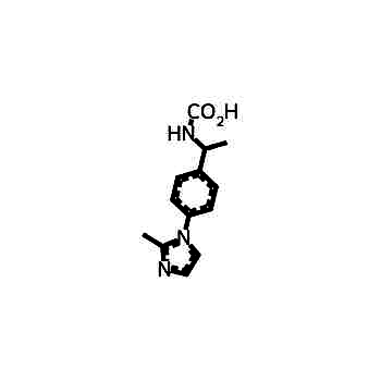 Cc1nccn1-c1ccc(C(C)NC(=O)O)cc1